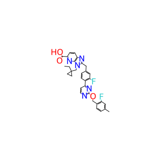 CCC1(Cn2c(Cc3ccc(-c4ccnc(OCc5ccc(C)cc5F)n4)c(F)c3)nc3ccc(C(=O)O)nc32)CC1